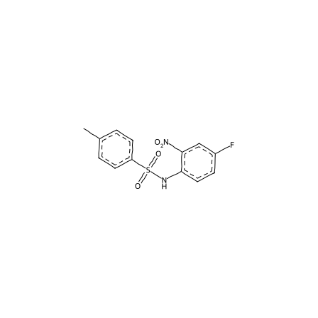 Cc1ccc(S(=O)(=O)Nc2ccc(F)cc2[N+](=O)[O-])cc1